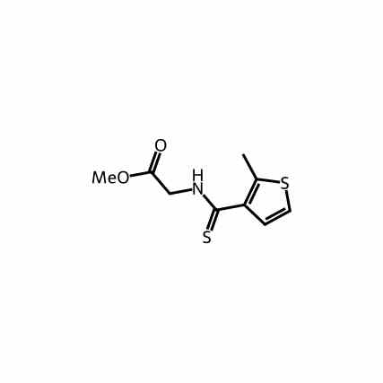 COC(=O)CNC(=S)c1ccsc1C